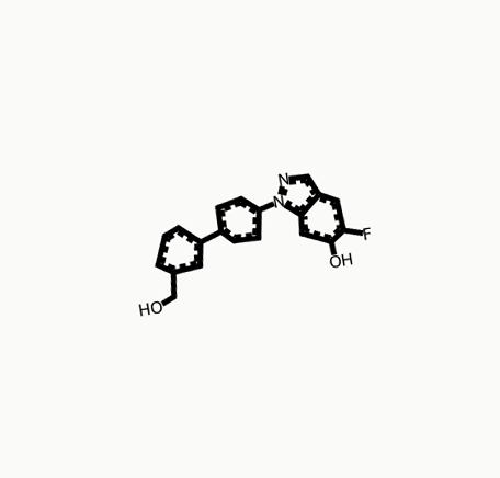 OCc1cccc(-c2ccc(-n3ncc4cc(F)c(O)cc43)cc2)c1